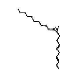 CCC=CCC=CCCC1OC1CCCCCCCCCC